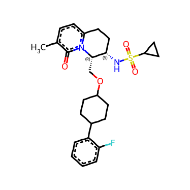 Cc1ccc2n(c1=O)[C@@H](COC1CCC(c3ccccc3F)CC1)[C@@H](NS(=O)(=O)C1CC1)CC2